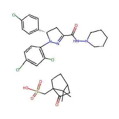 CC1(C)C2CCC1(CS(=O)(=O)O)C(=O)C2.O=C(NN1CCCCC1)C1=NN(c2ccc(Cl)cc2Cl)[C@H](c2ccc(Cl)cc2)C1